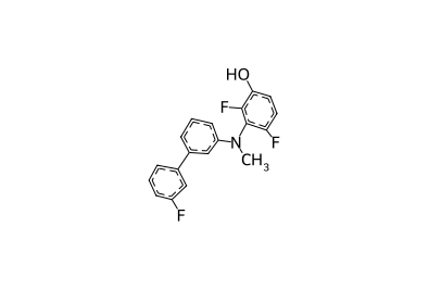 CN(c1cccc(-c2cccc(F)c2)c1)c1c(F)ccc(O)c1F